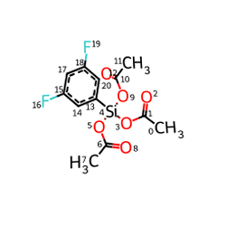 CC(=O)O[Si](OC(C)=O)(OC(C)=O)c1cc(F)cc(F)c1